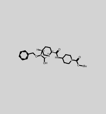 CC(C)(C)OC(=O)N1CCC(NC(=O)[C@@H]2CC[C@@H]3C[N@@]2C(O)N3OCc2ccccc2)CC1